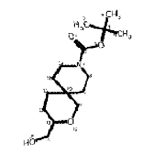 CC(C)(C)OC(=O)N1CCC2(CCC(CO)OC2)CC1